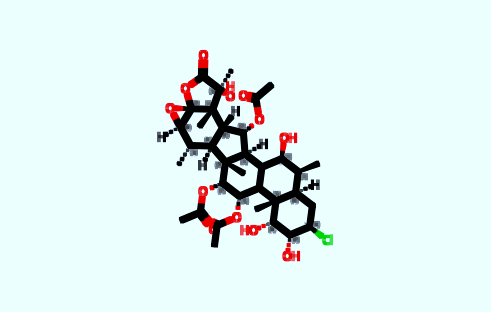 CC(=O)O[C@H]1[C@@H]2[C@H]([C@H](C)[C@H]3O[C@]34OC(=O)[C@@](C)(O)[C@]24C)[C@]2(C)[C@@H]1C1C([C@H](OC(C)=O)[C@@H]2OC(C)=O)[C@]2(C)[C@H](C[C@@H](Cl)[C@H](O)[C@@H]2O)[C@H](C)[C@@H]1O